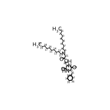 CCCCCCCCCCN(CCCCCCCCCC)CC(=O)OC[C@@H]1NC(=O)[C@H](Cc2ccccc2)NC1=O